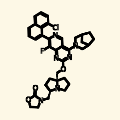 O=C1OCCN1C[C@H]1CC[C@@]2(COc3nc(N4CC5CCC(C5)C4)c4cnc(-c5cccc6cccc(Cl)c56)c(F)c4n3)CCCN12